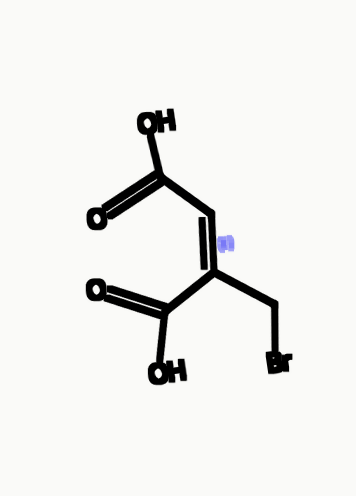 O=C(O)/C=C(/CBr)C(=O)O